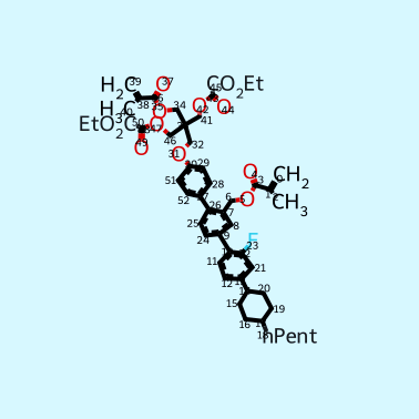 C=C(C)C(=O)OCc1cc(-c2ccc(C3CCC(CCCCC)CC3)cc2F)ccc1-c1ccc(OCC(COC(=O)C(=C)C)(COC(=O)C(=O)OCC)COC(=O)C(=O)OCC)cc1